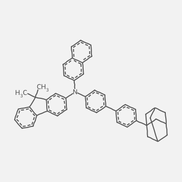 CC1(C)c2ccccc2-c2ccc(N(c3ccc(-c4ccc(C56CC7CC(CC(C7)C5)C6)cc4)cc3)c3ccc4ccccc4c3)cc21